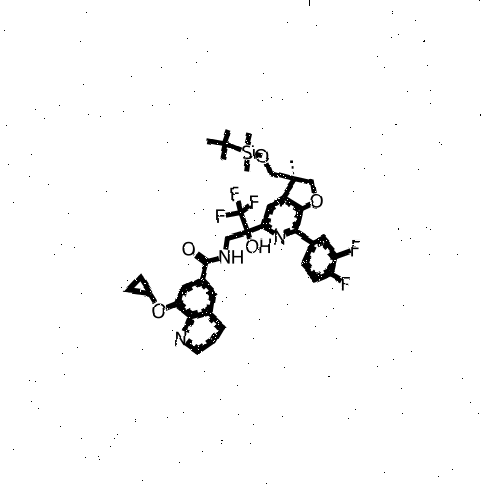 CC(C)(C)[Si](C)(C)OC[C@@]1(C)COc2c1cc(C(O)(CNC(=O)c1cc(OC3CC3)c3ncccc3c1)C(F)(F)F)nc2-c1ccc(F)c(F)c1